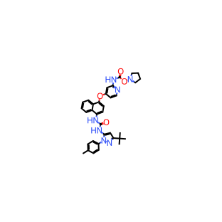 Cc1ccc(-n2nc(C(C)(C)C)cc2NC(=O)Nc2ccc(Oc3ccnc(NC(=O)ON4CCCC4)c3)c3ccccc23)cc1